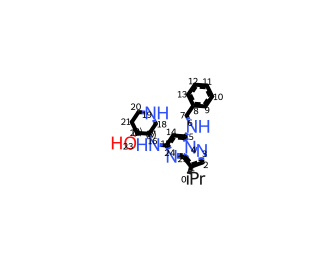 CC(C)c1cnn2c(NCc3ccccc3)cc(N[C@@H]3CNCC[C@H]3O)nc12